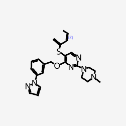 C=C(/C=C\C)Sc1cnc(N2CCN(C)CC2)nc1OCc1cccc(-n2cccn2)c1